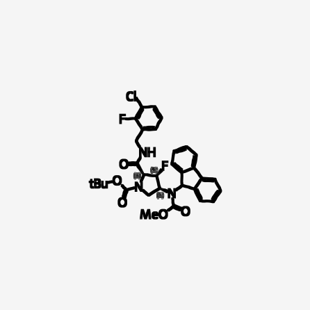 COC(=O)N(C1c2ccccc2-c2ccccc21)[C@H]1CN(C(=O)OC(C)(C)C)[C@@H](C(=O)NCc2cccc(Cl)c2F)[C@H]1F